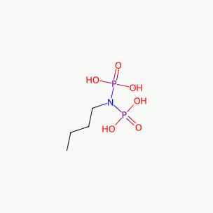 CCCCN(P(=O)(O)O)P(=O)(O)O